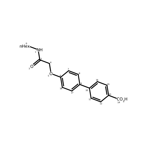 CCCCCCNC(=O)COc1ccc(-c2ccc(C(=O)O)cc2)cc1